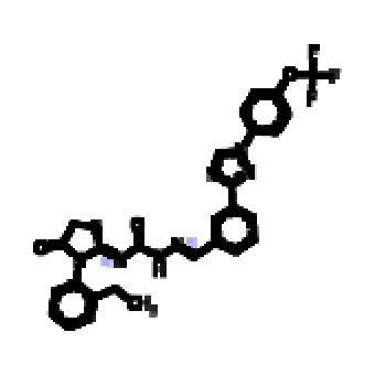 CCc1ccccc1N1C(=O)CS/C1=N\C(=O)N/N=C/c1cccc(-c2ncn(-c3ccc(OC(F)(F)F)cc3)n2)c1